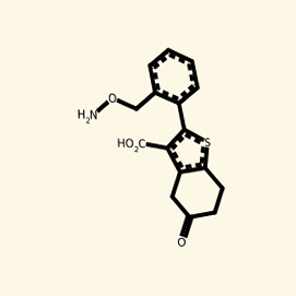 NOCc1ccccc1-c1sc2c(c1C(=O)O)CC(=O)CC2